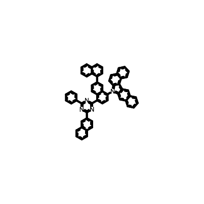 c1ccc(-c2nc(-c3ccc4ccccc4c3)nc(-c3ccc(-n4c5cc6ccccc6cc5c5c6ccccc6ccc54)c4cc(-c5cccc6ccccc56)ccc34)n2)cc1